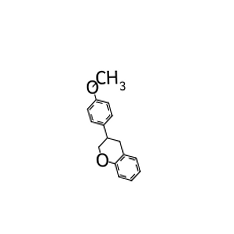 COc1ccc(C2COc3ccccc3C2)cc1